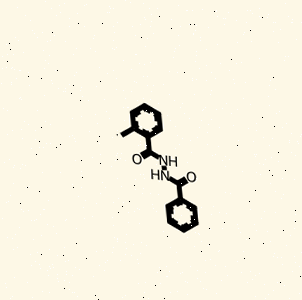 [CH2]c1ccccc1C(=O)NNC(=O)c1ccccc1